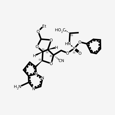 CCOC1O[C@H]2[C@H](c3ccc4c(N)ncnn34)O[C@](C#N)(CO[P@@](=O)(N[C@@H](C)C(=O)O)Oc3ccccc3)[C@H]2O1